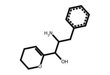 NC(Cc1ccccc1)C(O)C1=CCCCO1